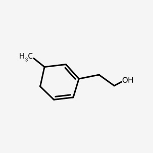 CC1C=C(CCO)C=CC1